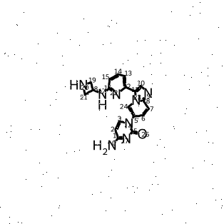 Nc1ccn(-c2ccc3ncc(-c4cccc(NC5CNC5)n4)n3c2)c(=O)n1